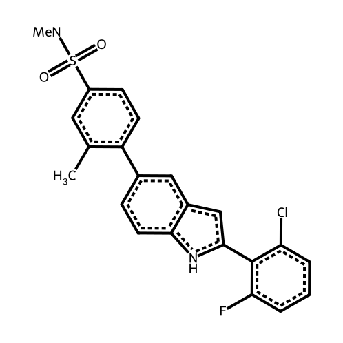 CNS(=O)(=O)c1ccc(-c2ccc3[nH]c(-c4c(F)cccc4Cl)cc3c2)c(C)c1